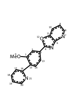 COc1cc(-c2nc3ncccc3o2)ccc1-c1ccccn1